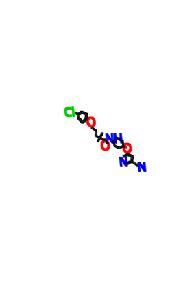 CC(C)(CCCOc1ccc(Cl)cc1)C(=O)NC1CCC(Oc2cncc(C#N)c2)CC1